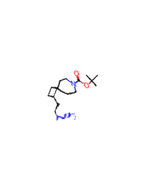 CC(C)(C)OC(=O)N1CCC2(CCC2CCN)CC1